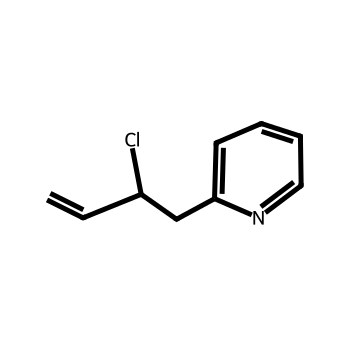 C=CC(Cl)Cc1ccccn1